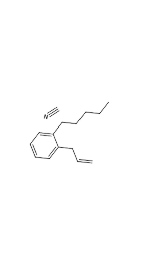 C#N.C=CCc1ccccc1CCCCC